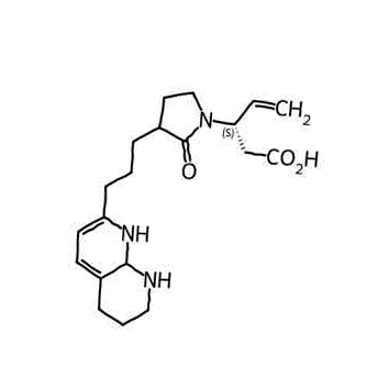 C=C[C@H](CC(=O)O)N1CCC(CCCC2=CC=C3CCCNC3N2)C1=O